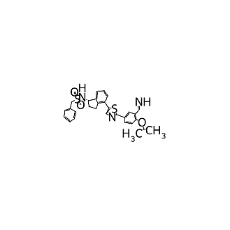 CC(C)Oc1ccc(-c2ncc(-c3cccc4c3CC[C@@H]4NS(=O)(=O)Cc3ccccc3)s2)cc1C=N